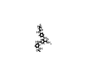 CC(=O)Nc1cccc(Nc2ncc(C(N)=O)c(Nc3ccc(NC(=O)CC(F)(F)F)cc3)n2)c1